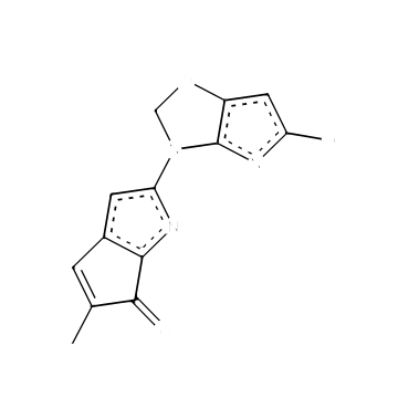 CC1=Cc2cc(N3COc4cc(O)[nH]c43)[nH]c2C1=O